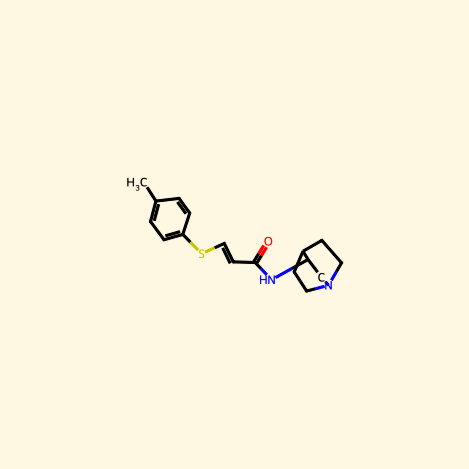 Cc1ccc(SC=CC(=O)NC2CN3CCC2CC3)cc1